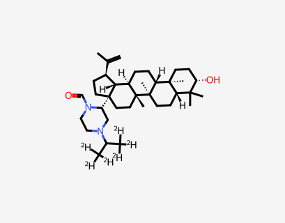 [2H]C([2H])([2H])C(N1CCN(C=O)C([C@]23CC[C@@H](C(=C)C)[C@@H]2[C@H]2CC[C@@H]4[C@@]5(C)CC[C@H](O)C(C)(C)[C@@H]5CC[C@@]4(C)[C@]2(C)CC3)C1)C([2H])([2H])[2H]